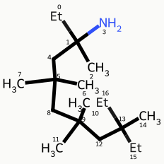 CCC(C)(N)CC(C)(C)CC(C)(C)CC(C)(CC)CC